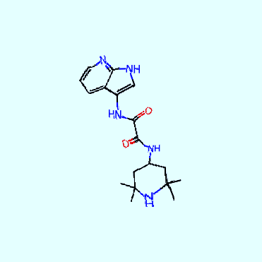 CC1(C)CC(NC(=O)C(=O)Nc2c[nH]c3ncccc23)CC(C)(C)N1